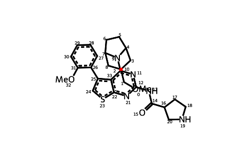 COCC1CC2CCC(C1)N2c1nc(NC(=O)C2CCNC2)nc2scc(-c3ccccc3OC)c12